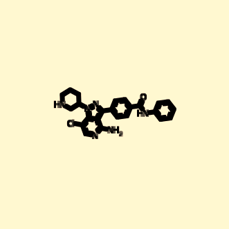 Nc1ncc(Cl)c2c1c(-c1ccc(C(=O)Nc3ccccc3)cc1)nn2C1CCCNC1